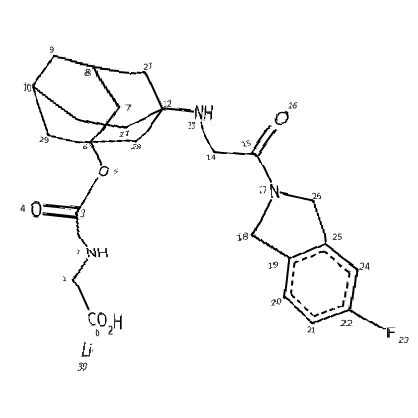 O=C(O)CNC(=O)OC12CC3CC(CC(NCC(=O)N4Cc5ccc(F)cc5C4)(C3)C1)C2.[Li]